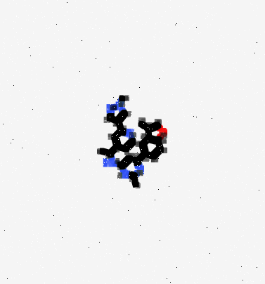 Cc1nc(NC(C)c2ccnc(-c3cnn(C)c3)c2)cc(-c2ccc3occ(C)c3c2)n1